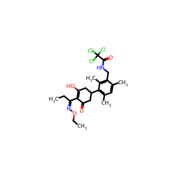 CCO/N=C(/CC)C1=C(O)CC(c2c(C)cc(C)c(CNC(=O)C(Cl)(Cl)Cl)c2C)CC1=O